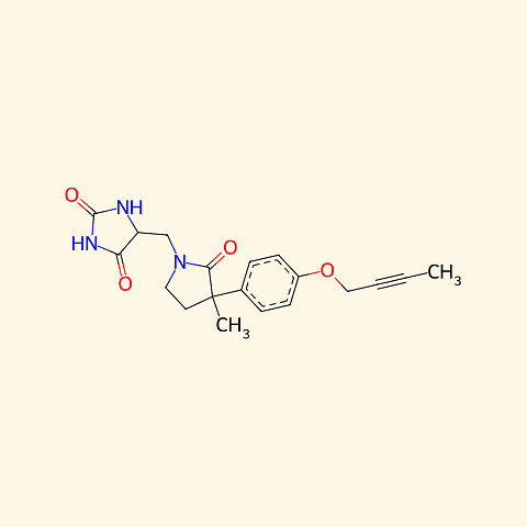 CC#CCOc1ccc(C2(C)CCN(CC3NC(=O)NC3=O)C2=O)cc1